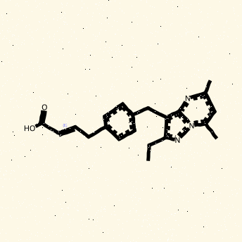 CCc1nn2c(C)cc(C)nc2c1Cc1ccc(C/C=C/C(=O)O)cc1